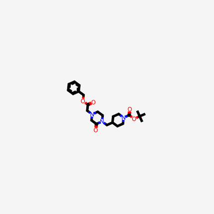 CC(C)(C)OC(=O)N1CCC(CN2CCN(CC(=O)OCc3ccccc3)CC2=O)CC1